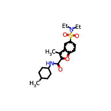 CCN(CC)S(=O)(=O)c1ccc2oc(C(=O)NC3CCC(C)CC3)c(C)c2c1